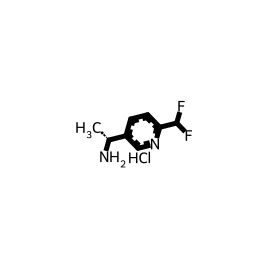 C[C@@H](N)c1ccc(C(F)F)nc1.Cl